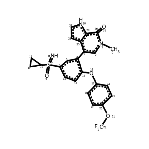 Cn1cc(-c2cc(S(=N)(=O)C3CC3)ccc2Oc2ccc(OC(F)(F)F)cc2)c2cc[nH]c2c1=O